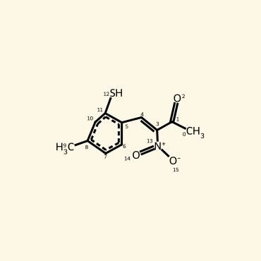 CC(=O)C(=Cc1ccc(C)cc1S)[N+](=O)[O-]